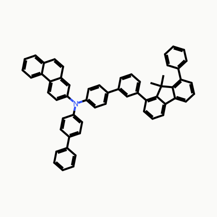 CC1(C)c2c(-c3ccccc3)cccc2-c2cccc(-c3cccc(-c4ccc(N(c5ccc(-c6ccccc6)cc5)c5ccc6c(ccc7ccccc76)c5)cc4)c3)c21